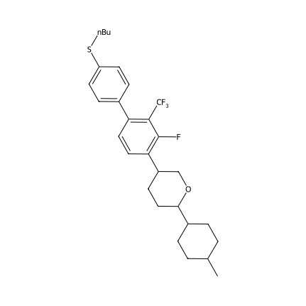 CCCCSc1ccc(-c2ccc(C3CCC(C4CCC(C)CC4)OC3)c(F)c2C(F)(F)F)cc1